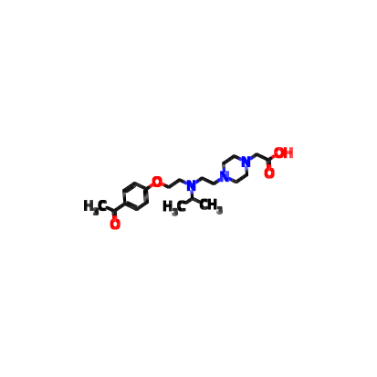 CC(=O)c1ccc(OCCN(CCN2CCN(CC(=O)O)CC2)C(C)C)cc1